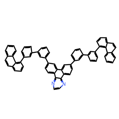 c1cc(-c2cccc(-c3cccc4ccc5ccccc5c34)c2)cc(-c2ccc3c(c2)c2cc(-c4cccc(-c5cccc(-c6cccc7ccc8ccccc8c67)c5)c4)ccc2c2nccnc32)c1